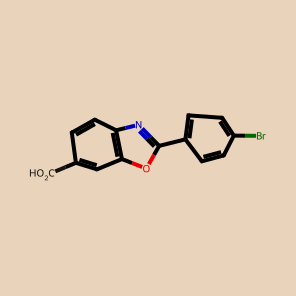 O=C(O)c1ccc2nc(-c3ccc(Br)cc3)oc2c1